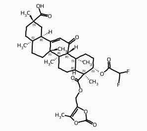 Cc1oc(=O)oc1COC(=O)[C@]1(C)[C@@H](OC(=O)C(F)F)CC[C@@]2(C)[C@H]1CC[C@]1(C)[C@@H]2C(=O)C=C2[C@@H]3C[C@@](C)(C(=O)O)CC[C@]3(C)CC[C@]21C